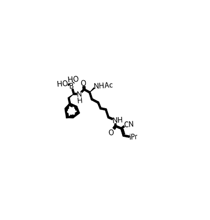 CC(=O)N[C@@H](CCCCCNC(=O)/C(C#N)=C/C(C)C)C(=O)N[C@@H](Cc1ccccc1)B(O)O